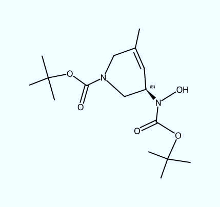 CC1=C[C@@H](N(O)C(=O)OC(C)(C)C)CN(C(=O)OC(C)(C)C)C1